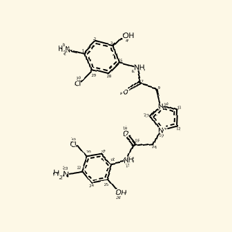 Nc1cc(O)c(NC(=O)Cn2cc[n+](CC(=O)Nc3cc(Cl)c(N)cc3O)c2)cc1Cl